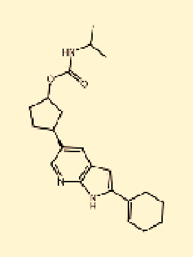 CC(C)NC(=O)O[C@@H]1CC[C@H](c2cnc3[nH]c(C4=CCCCC4)cc3c2)C1